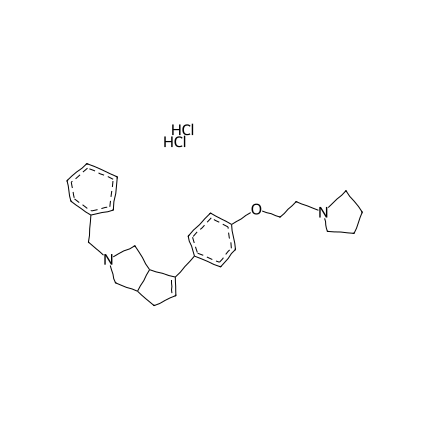 C1=C(c2ccc(OCCN3CCCC3)cc2)C2CN(Cc3ccccc3)CC2C1.Cl.Cl